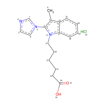 Cc1c(-n2ccnc2)n(CCCCCC(=O)O)c2ccccc12.Cl